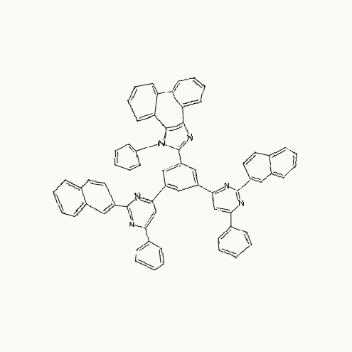 c1ccc(-c2cc(-c3cc(-c4cc(-c5ccccc5)nc(-c5ccc6ccccc6c5)n4)cc(-c4nc5c6ccccc6c6ccccc6c5n4-c4ccccc4)c3)nc(-c3ccc4ccccc4c3)n2)cc1